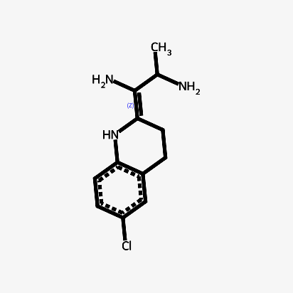 CC(N)/C(N)=C1\CCc2cc(Cl)ccc2N1